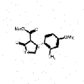 COC(=O)C1C(=O)NC[C@H]1c1ccc(OC)cc1C